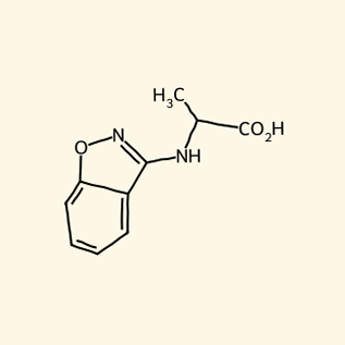 CC(Nc1noc2ccccc12)C(=O)O